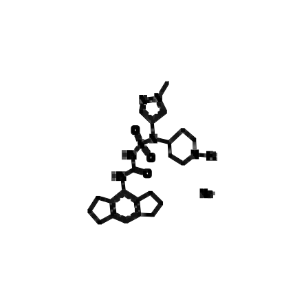 CCN1CCC(N(c2cnn(C)c2)S(=O)(=O)NC(=O)Nc2c3c(cc4c2CCC4)CCC3)CC1.[Na]